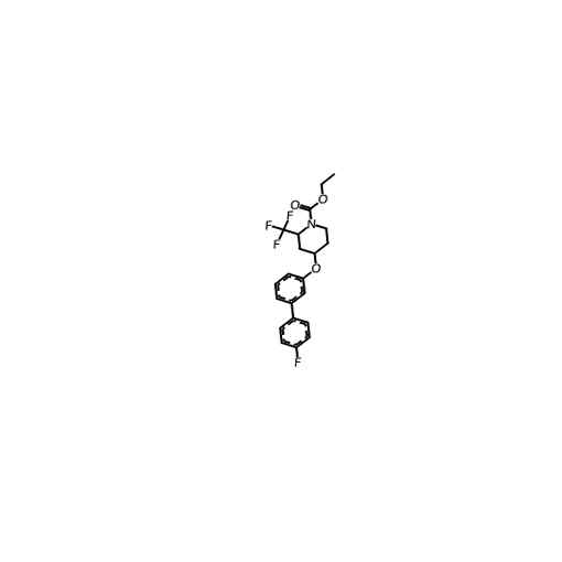 CCOC(=O)N1CCC(Oc2cccc(-c3ccc(F)cc3)c2)CC1C(F)(F)F